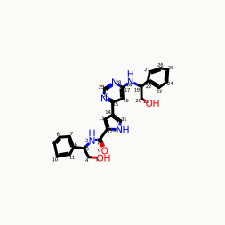 O=C(NC(CO)c1ccccc1)c1cc(-c2cc(NC(CO)c3ccccc3)ncn2)c[nH]1